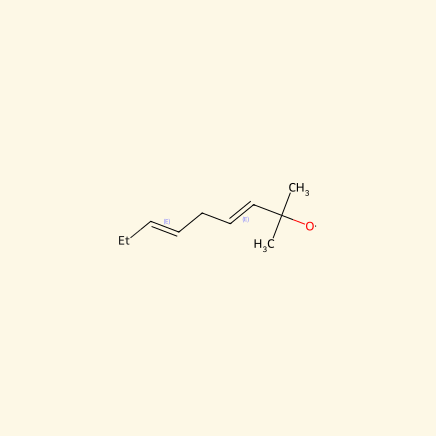 CC/C=C/C/C=C/C(C)(C)[O]